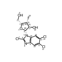 OC[C@H]1O[C@@H](n2c(Cl)nc3cc(Cl)c(Cl)cc32)[C@H](O)[C@H]1F